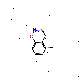 Cc1cccc2c1CC=NO2